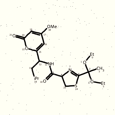 CCOC(C)(OCC)C1=NC(C(=O)NC(CC(C)C)c2cc(OC)cc(=O)o2)CS1